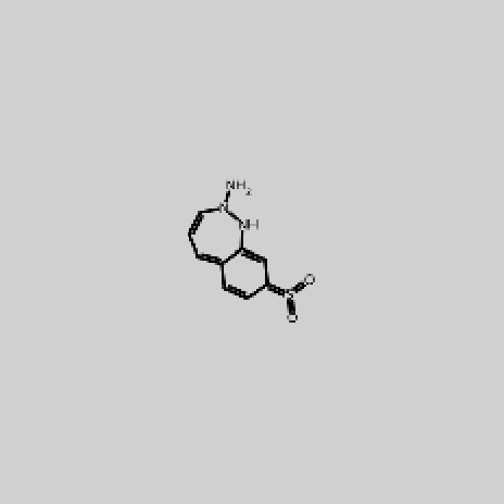 NN1C=CC=C2C=CC(=S(=O)=O)C=C2N1